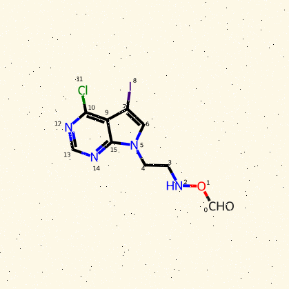 O=CONCCn1cc(I)c2c(Cl)ncnc21